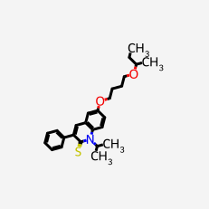 CCC(C)OCCCCOc1ccc2c(c1)cc(-c1ccccc1)c(=S)n2C(C)C